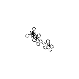 CC1(Cc2ccc3c4c2cccc4c2cccc4c2-n3c2ccccc2n4-c2nc(-c3ccccc3)nc(-c3ccccc3)n2)c2ccccc2N2c3c(cccc31)-c1cccc3cccc2c13